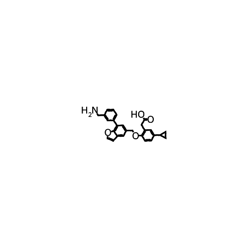 NCc1cccc(-c2cc(COc3ccc(C4CC4)cc3CC(=O)O)cc3ccoc23)c1